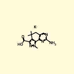 Cn1nc(C(=O)O)c2c1-c1nc(N)ncc1CC2(C)C.[K]